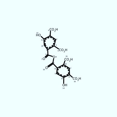 O=C(O)c1cc(C(=O)O)c(C(=O)OC(=O)c2cc(O)c(C(=O)O)cc2C(=O)O)cc1O